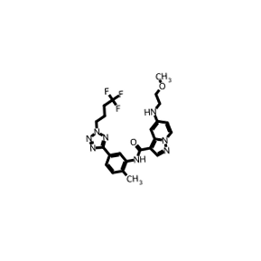 COCCNc1ccn2ncc(C(=O)Nc3cc(-c4nnn(CCCC(F)(F)F)n4)ccc3C)c2c1